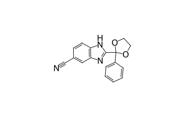 N#Cc1ccc2[nH]c(C3(c4ccccc4)OCCO3)nc2c1